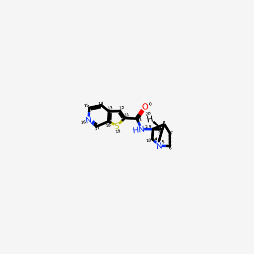 O=C(N[C@H]1CN2CCC1CC2)c1cc2ccncc2s1